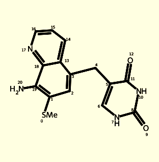 CSc1cc(Cc2c[nH]c(=O)[nH]c2=O)c2cccnc2c1N